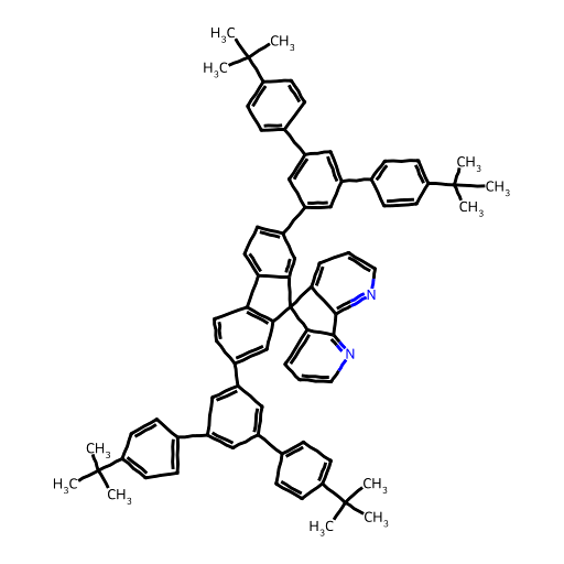 CC(C)(C)c1ccc(-c2cc(-c3ccc(C(C)(C)C)cc3)cc(-c3ccc4c(c3)C3(c5cc(-c6cc(-c7ccc(C(C)(C)C)cc7)cc(-c7ccc(C(C)(C)C)cc7)c6)ccc5-4)c4cccnc4-c4ncccc43)c2)cc1